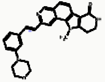 Cn1c2c(c3ccc4cnc(/C=C/c5cccc(N6CCOCC6)c5)cc4c31)C(=O)NCC2